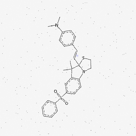 CN(C)c1ccc(/C=C/C23SCCN2c2ccc(S(=O)(=O)c4ccccc4)cc2C3(C)C)cc1